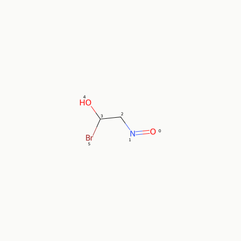 O=NCC(O)Br